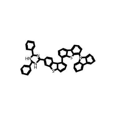 C1=CC2Sc3cc(C4=NC(c5ccccc5)NC(c5ccccc5)N4)ccc3C2C(c2cccc3c2sc2c(-n4c5ccccc5c5ccccc54)cccc23)=C1